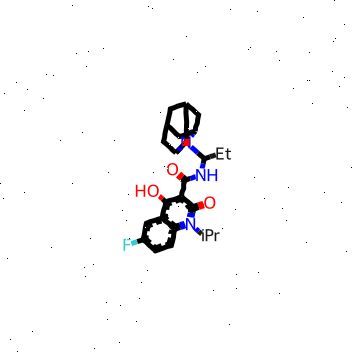 CCC(NC(=O)c1c(O)c2cc(F)ccc2n(C(C)C)c1=O)N1C2CC3CC(C2)CC1C3